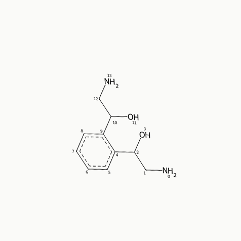 NCC(O)c1ccccc1C(O)CN